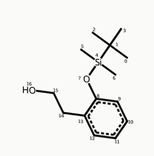 CC(C)(C)[Si](C)(C)Oc1ccccc1CCO